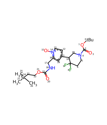 CC(C)(C)OC(=O)N1CCC(F)(F)C(c2cc[n+]([O-])c(CNC(=O)OCC[Si](C)(C)C)c2)C1